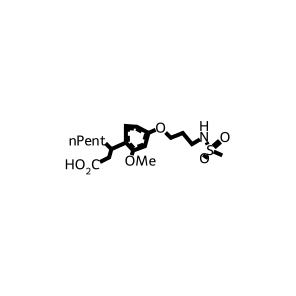 CCCCCC(CC(=O)O)c1ccc(OCCCNS(C)(=O)=O)cc1OC